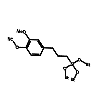 CCO[Si](CCCc1ccc(OC#N)c(OC)c1)(OCC)OCC